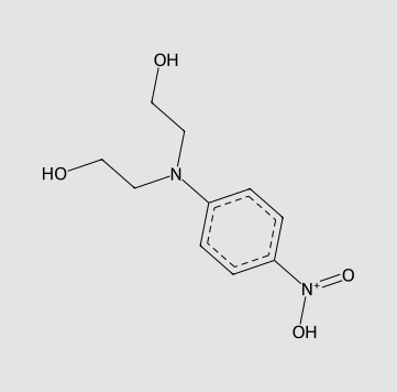 O=[N+](O)c1ccc(N(CCO)CCO)cc1